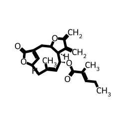 C=C1OC2CC3=C[C@@H](C/C(C)=C/[C@@H](OC(=O)/C(C)=C/CC)[C@@H]2C1=C)OC3=O